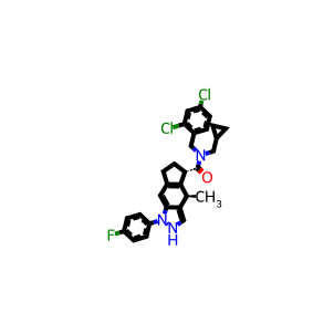 C[C@H]1C2=CNN(c3ccc(F)cc3)C2=CC2=C1[C@@H](C(=O)N(Cc1ccc(Cl)cc1Cl)CC1CC1)CC2